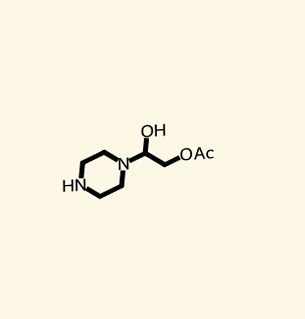 CC(=O)OCC(O)N1CCNCC1